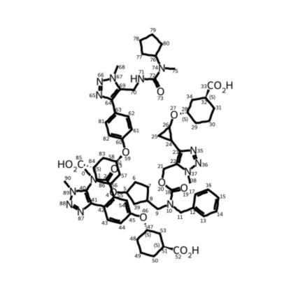 CN(C(=O)OC1CCC(CN(Cc2ccccc2)C(=O)OCc2c(C3CC3O[C@H]3CCC[C@H](C(=O)O)C3)nnn2C)C1)c1c(-c2ccc(O[C@H]3CCC[C@H](C(=O)O)C3)cc2C2C[C@H](Oc3ccc(-c4nnn(C)c4CNC(=O)N(C)C4CCCC4)cc3)C[C@@H](C(=O)O)C2)nnn1C